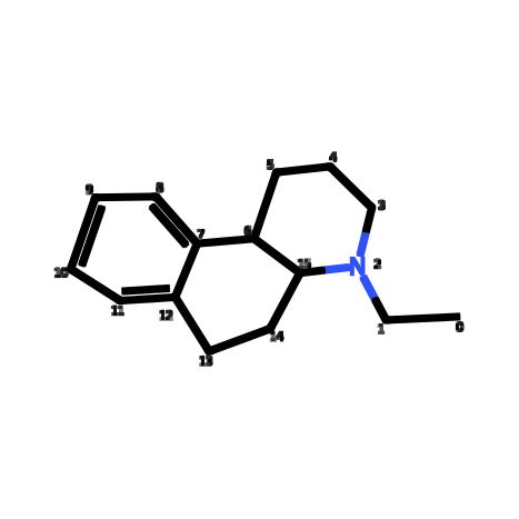 CCN1CCCC2c3ccccc3CCC21